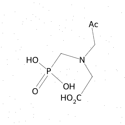 CC(=O)CN(CC(=O)O)CP(=O)(O)O